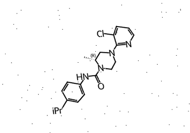 CC(C)c1ccc(NC(=O)N2CCN(c3ncccc3Cl)C[C@H]2C)cc1